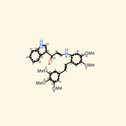 COc1cc(C=Cc2cc(OC)c(OC)c(OC)c2)c(NC=CC(=O)c2c[nH]c3ccccc23)cc1OC